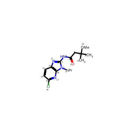 CCCn1c(NC(=O)CC(C)(C)OC)nc2ccc(Cl)nc21